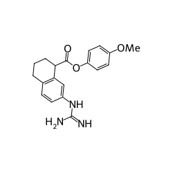 COc1ccc(OC(=O)C2CCCc3ccc(NC(=N)N)cc32)cc1